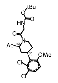 COc1ccc(Cl)c(Cl)c1[C@@H]1CCN(C(=O)CNC(=O)OC(C)(C)C)[C@H](C(C)=O)C1